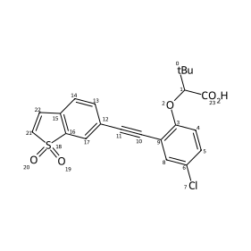 CC(C)(C)C(Oc1ccc(Cl)cc1C#Cc1ccc2c(c1)S(=O)(=O)C=C2)C(=O)O